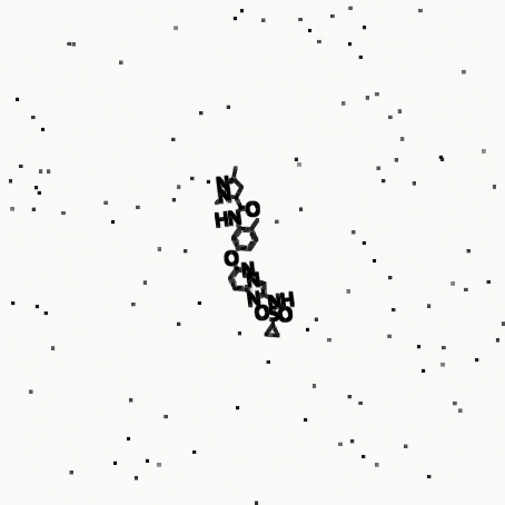 CC1=NN(C)C(C(=O)Nc2cc(Oc3ccc4nc(NS(=O)(=O)C5CC5)cn4n3)ccc2C)C1